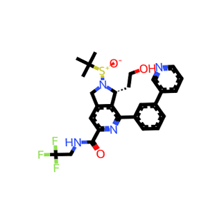 CC(C)(C)[S@@+]([O-])N1Cc2cc(C(=O)NCC(F)(F)F)nc(-c3cccc(-c4cccnc4)c3)c2[C@H]1CCO